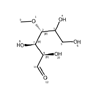 CO[C@H](C(O)CO)[C@H](O)[C@@H](O)C=O